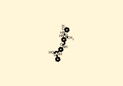 COc1cc(CC(=O)Nc2ccc(C(CC(=O)O)NCc3ccccc3)cc2)ccc1NC(=O)Nc1ccccc1C